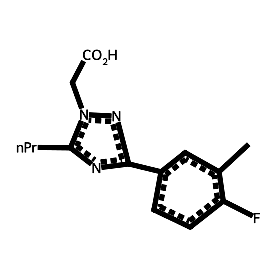 CCCc1nc(-c2ccc(F)c(C)c2)nn1CC(=O)O